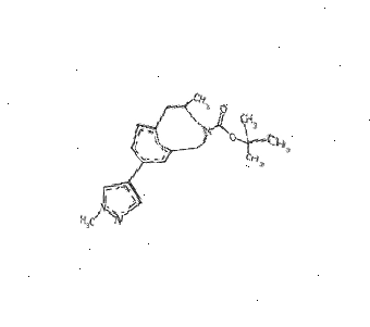 CC1Cc2ccc(-c3cnn(C)c3)cc2CN1C(=O)OC(C)(C)C